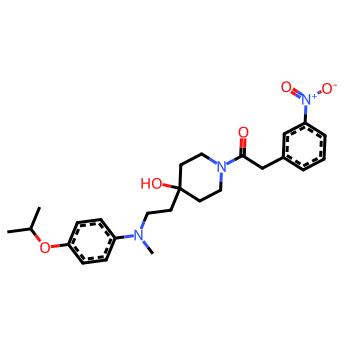 CC(C)Oc1ccc(N(C)CCC2(O)CCN(C(=O)Cc3cccc([N+](=O)[O-])c3)CC2)cc1